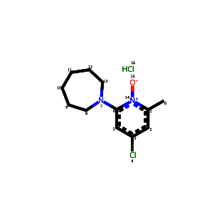 Cc1cc(Cl)cc(N2CCCCCC2)[n+]1[O-].Cl